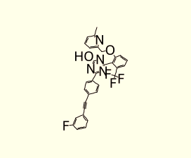 Cc1cccc(COc2cccc(C(F)(F)F)c2-c2nc(O)nc(-c3ccc(C#Cc4cccc(F)c4)cc3)n2)n1